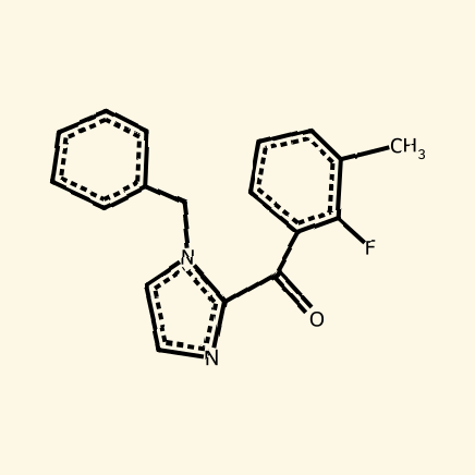 Cc1cccc(C(=O)c2nccn2Cc2ccccc2)c1F